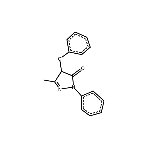 CC1=NN(c2ccccc2)C(=O)C1Oc1ccccc1